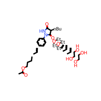 C=C.C=CC.C=CC.C=CC.CCCCC1C(=O)NN(c2ccccc2)C1=O.CCCCOC(C)=O.CCOCC.CCOCC.OCCO.OCCO